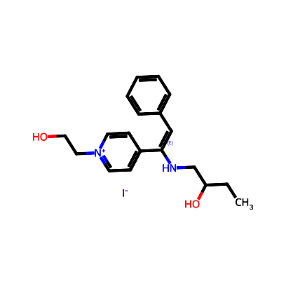 CCC(O)CN/C(=C/c1ccccc1)c1cc[n+](CCO)cc1.[I-]